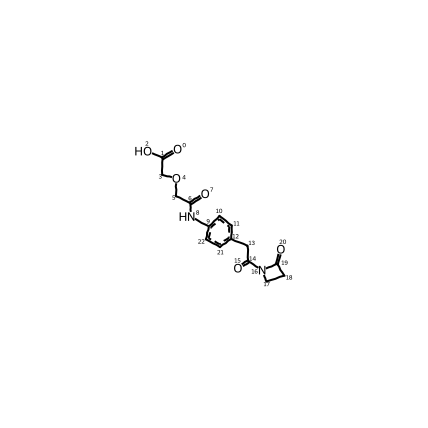 O=C(O)COCC(=O)Nc1ccc(CC(=O)N2CCC2=O)cc1